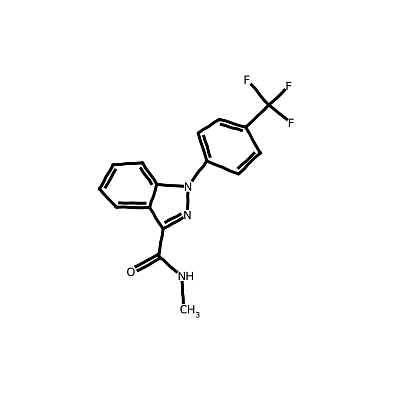 CNC(=O)c1nn(-c2ccc(C(F)(F)F)cc2)c2ccccc12